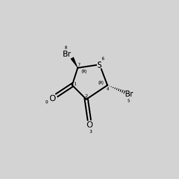 O=C1C(=O)[C@@H](Br)S[C@@H]1Br